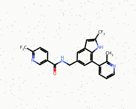 Cc1ncccc1-c1cc(CNC(=O)c2ccc(C(F)(F)F)nc2)cc2cc(C(F)(F)F)[nH]c12